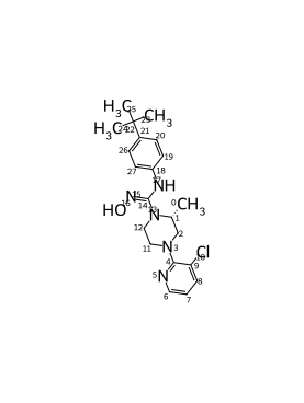 C[C@@H]1CN(c2ncccc2Cl)CCN1/C(=N\O)Nc1ccc(C(C)(C)C)cc1